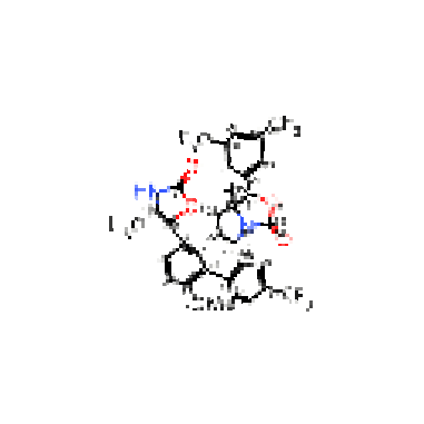 COc1ccc([C@H]2OC(=O)N[C@H]2C)cc1-c1ccc(C(F)(F)F)cc1[C@@H]1CC[C@H]2[C@@H](c3cc(C(F)(F)F)cc(C(F)(F)F)c3)OC(=O)N12